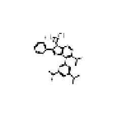 CC(C)c1cc(-c2c(C(C)C)ccc3c2C=C(c2ccccc2)[CH]3[Zr]([Cl])[Cl])cc(C(C)C)c1